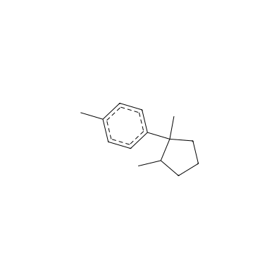 Cc1ccc(C2(C)CCCC2C)cc1